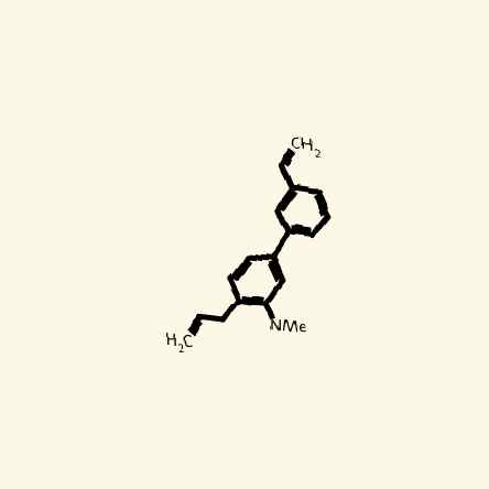 C=CCc1ccc(-c2cccc(C=C)c2)cc1NC